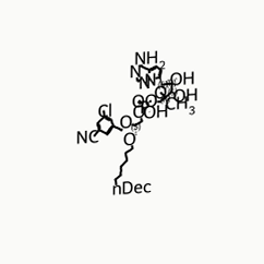 CCCCCCCCCCCCCCCCOC[C@@H](COP(=O)(O)OC[C@@]1(C)O[C@@H](c2ccc3c(N)ncnn23)[C@H](O)[C@@H]1O)OCc1cc(Cl)cc(C#N)c1